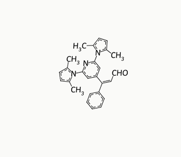 Cc1ccc(C)n1-c1cc(/C(=C\C=O)c2ccccc2)cc(-n2c(C)ccc2C)n1